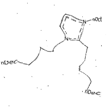 CCCCCCCCCCCCCc1n(CCCCCCCC)cc[n+]1CCCCCCCCCCCCC